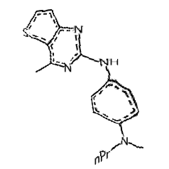 CCCN(C)c1ccc(Nc2nc(C)c3sccc3n2)cc1